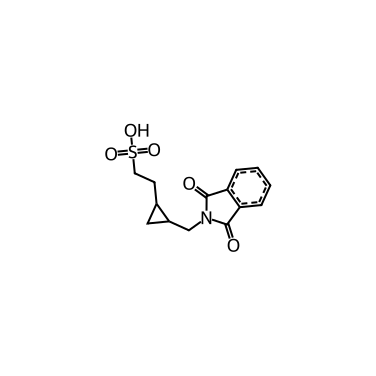 O=C1c2ccccc2C(=O)N1CC1CC1CCS(=O)(=O)O